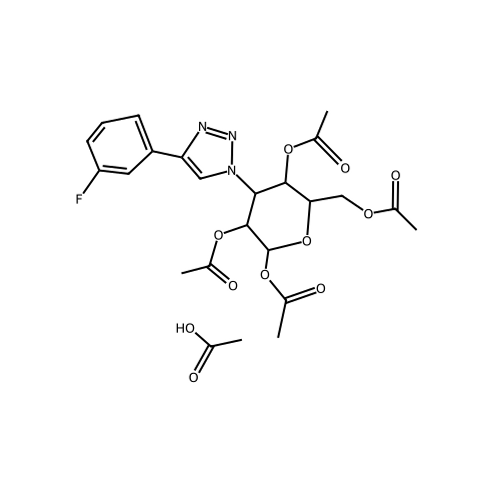 CC(=O)O.CC(=O)OCC1OC(OC(C)=O)C(OC(C)=O)C(n2cc(-c3cccc(F)c3)nn2)C1OC(C)=O